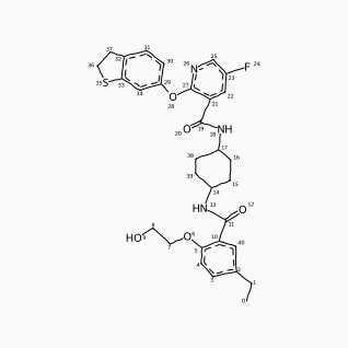 CCc1ccc(OCCO)c(C(=O)NC2CCC(NC(=O)c3cc(F)cnc3Oc3ccc4c(c3)SCC4)CC2)c1